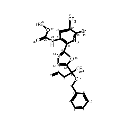 C=CCC(OCc1ccccc1)(c1nnc(-c2nc(Br)c(C(F)(F)F)cc2NC(=O)OC(C)(C)C)o1)C(F)(F)F